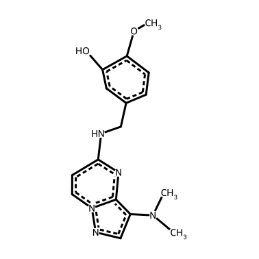 COc1ccc(CNc2ccn3ncc(N(C)C)c3n2)cc1O